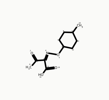 CC(=O)C(=NOC1CCC(C)CC1)C(=O)O